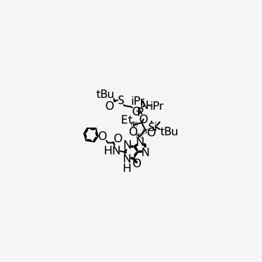 CC[C@H]1O[C@@H](n2cnc3c(=O)[nH]c(NC(=O)COc4ccccc4)nc32)[C@@H](O[Si](C)(C)C(C)(C)C)C1OP(OCCSC(=O)C(C)(C)C)N(C(C)C)C(C)C